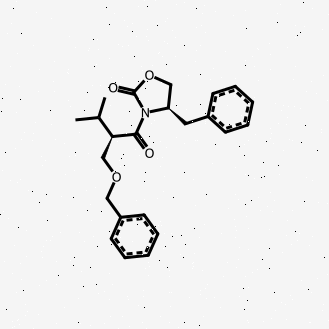 CC(C)[C@H](COCc1ccccc1)C(=O)N1C(=O)OC[C@H]1Cc1ccccc1